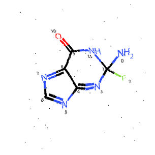 NC1(F)N=C2N=CN=C2C(=O)N1